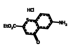 CCOC(=O)c1cc(=O)c2cc(N)ccc2s1.Cl